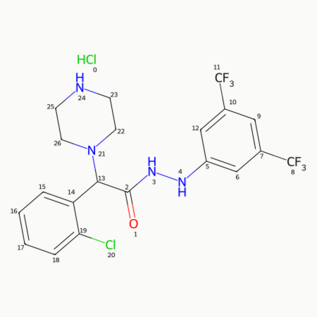 Cl.O=C(NNc1cc(C(F)(F)F)cc(C(F)(F)F)c1)C(c1ccccc1Cl)N1CCNCC1